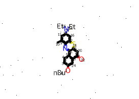 CCCCOc1ccc2c3nc4c(C)cc(N(CC)CC)cc4sc-3cc(=O)c2c1